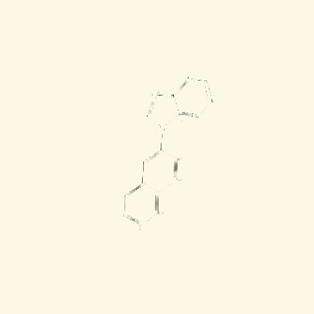 c1ccc2cc(-n3cnc4ccccc43)ccc2c1